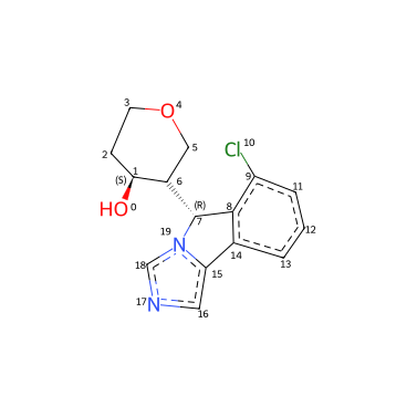 O[C@H]1CCOCC1[C@@H]1c2c(Cl)cccc2-c2cncn21